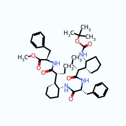 CC[C@@H](C(=O)N[C@H](Cc1ccccc1)C(=O)N[C@@H]1CCCC[C@@H]1[C@@H](CC)C(=O)N[C@H](Cc1ccccc1)C(=O)OC)[C@H]1CCCC[C@H]1NC(=O)OC(C)(C)C